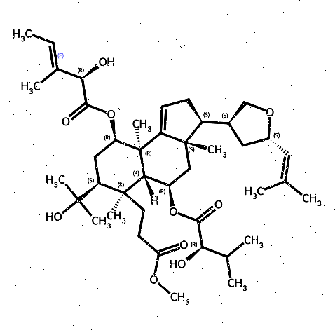 C/C=C(\C)[C@@H](O)C(=O)O[C@@H]1C[C@H](C(C)(C)O)[C@](C)(CCC(=O)OC)[C@H]2[C@H](OC(=O)[C@H](O)C(C)C)C[C@]3(C)C(=CC[C@H]3[C@H]3CO[C@H](C=C(C)C)C3)[C@@]21C